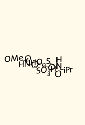 COCC(=O)Nc1ccc(C=Cc2ccc(NC(=O)C(C)C)cc2S(=O)(=O)O)c(S(=O)(=O)O)c1